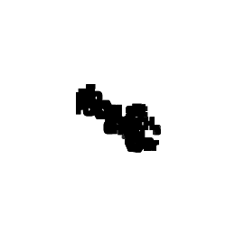 CCSc1c(-c2nc3cc4c(cc3n2C)OC(F)(F)C(F)(F)O4)nc(-c2cccc(Br)n2)n1C